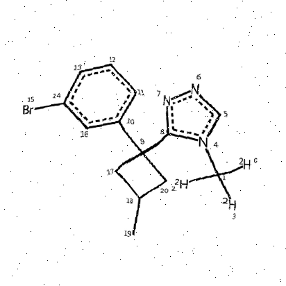 [2H]C([2H])([2H])n1cnnc1C1(c2cccc(Br)c2)CC(C)C1